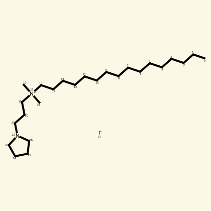 CCCCCCCCCCCCCCCC[N+](C)(C)CCCN1CCCC1.[I-]